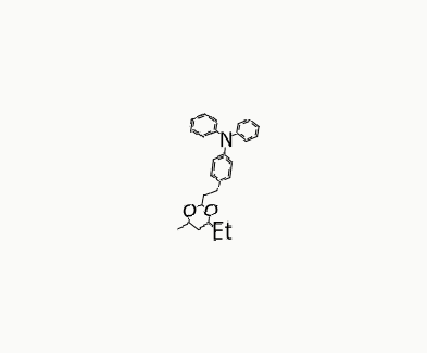 CCC1CC(C)OC(CCc2ccc(N(c3ccccc3)c3ccccc3)cc2)O1